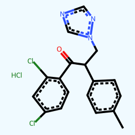 Cc1ccc(C(Cn2cncn2)C(=O)c2ccc(Cl)cc2Cl)cc1.Cl